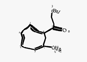 COc1ccccc1C(=O)C(C)(C)C